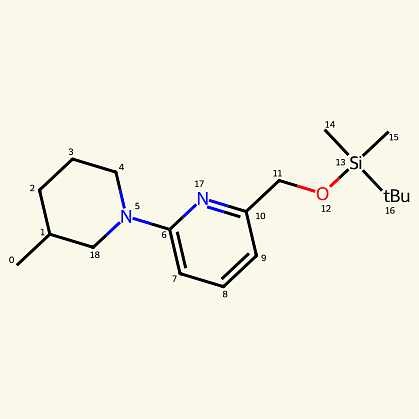 CC1CCCN(c2cccc(CO[Si](C)(C)C(C)(C)C)n2)C1